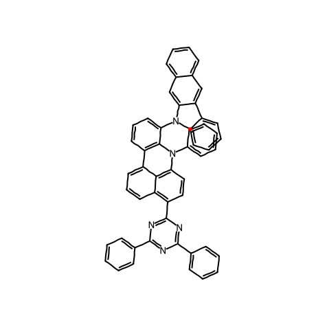 c1ccc(-c2nc(-c3ccccc3)nc(-c3ccc4c5c(cccc35)-c3cccc(-n5c6ccccc6c6cc7ccccc7cc65)c3N4c3ccccc3)n2)cc1